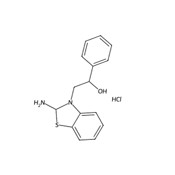 Cl.NC1Sc2ccccc2N1CC(O)c1ccccc1